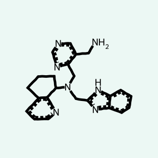 NCc1cncnc1CN(Cc1nc2ccccc2[nH]1)C1CCCc2cccnc21